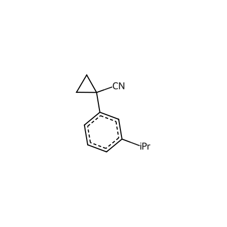 CC(C)c1cccc(C2(C#N)CC2)c1